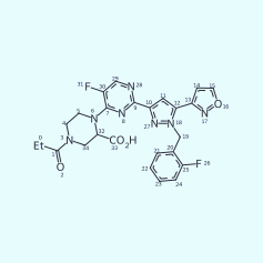 CCC(=O)N1CCN(c2nc(-c3cc(-c4ccon4)n(Cc4ccccc4F)n3)ncc2F)C(C(=O)O)C1